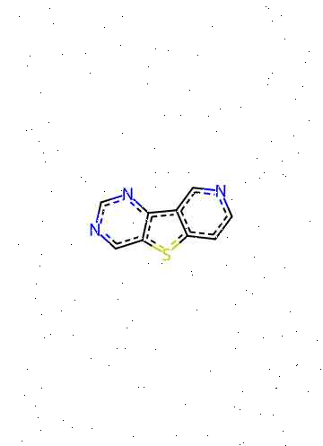 c1cc2sc3cncnc3c2cn1